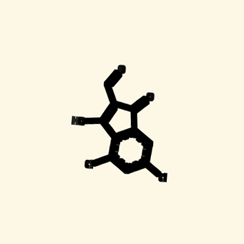 O=CC1=C(O)c2c(Cl)cc(Cl)cc2C1=O